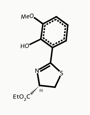 CCOC(=O)[C@H]1CSC(c2cccc(OC)c2O)=N1